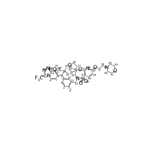 Cc1ccc(C(c2ccn3c(C(F)(F)F)nnc3c2C)C(C)(C)C(=O)O)cc1CN1CC2(CCOCC2)Oc2nc(OCCN3CCOCC3)ccc2S1(=O)=O